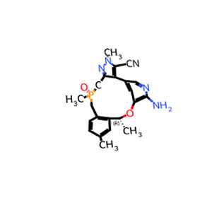 Cc1ccc2c(c1)[C@@H](C)Oc1cc(cnc1N)-c1c(nn(C)c1C#N)CP(C)(=O)C2